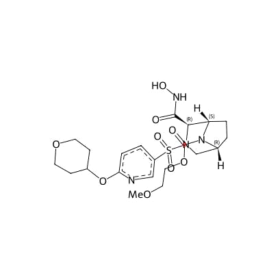 COCCOC(=O)N1[C@@H]2CC[C@H]1[C@H](C(=O)NO)N(S(=O)(=O)c1ccc(OC3CCOCC3)nc1)C2